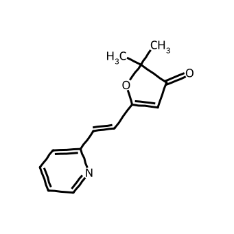 CC1(C)OC(C=Cc2ccccn2)=CC1=O